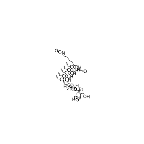 C=CC(=O)O.C=CC(=O)O.C=CC(=O)O.C=CC(=O)O.C=CC(=O)O.C=CC(=O)O.CCOC(N)=O.O=C=NCCCCCCN=C=O.OCC(CO)(CO)CO